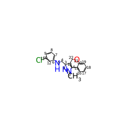 Cn1nc(CNc2cccc(Cl)c2)c2c1-c1ccccc1OC2